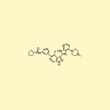 CN1CCN(c2ccnc3[nH]c(-c4n[nH]c5cnc(-c6cncc(NC(=O)C7CCCC7)c6)c(F)c45)nc23)CC1